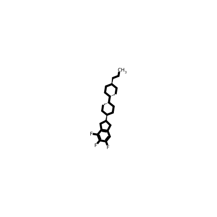 CCC[C@H]1CC[C@H]([C@H]2CC[C@H](C3Cc4cc(F)c(F)c(F)c4C3)CC2)CC1